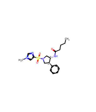 CCCCC(=O)N[C@H]1CN(S(=O)(=O)c2cn(C)cn2)C[C@@H]1c1ccccc1